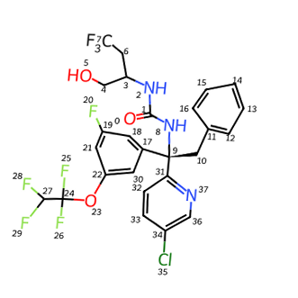 O=C(NC(CO)CC(F)(F)F)N[C@@](Cc1ccccc1)(c1cc(F)cc(OC(F)(F)C(F)F)c1)c1ccc(Cl)cn1